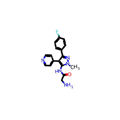 Cn1nc(-c2ccc(F)cc2)c(-c2ccncc2)c1NC(=O)CN